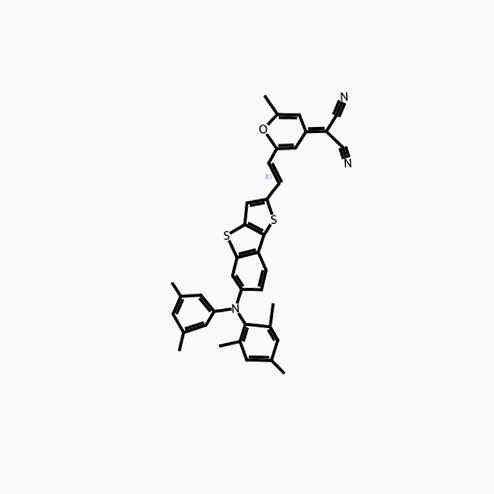 CC1=CC(=C(C#N)C#N)C=C(/C=C/c2cc3sc4cc(N(c5cc(C)cc(C)c5)c5c(C)cc(C)cc5C)ccc4c3s2)O1